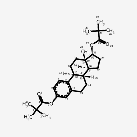 CC(C)(C)C(=O)Oc1ccc2c(c1)CC[C@@H]1[C@@H]2CC[C@]2(C)[C@@H](OC(=O)C(C)(C)C)CC[C@@H]12